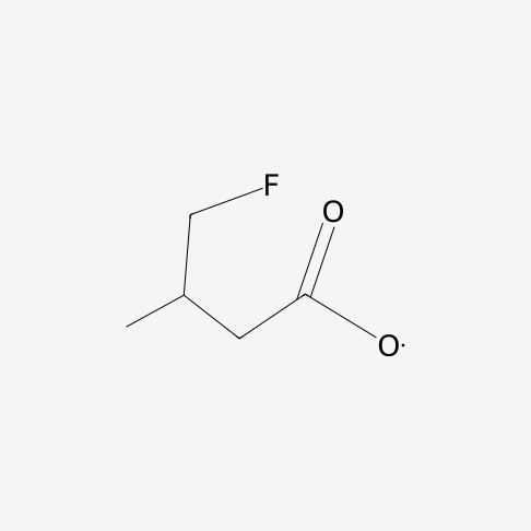 CC(CF)CC([O])=O